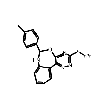 CCCSc1nnc2c(n1)OC(c1ccc(C)cc1)Nc1ccccc1-2